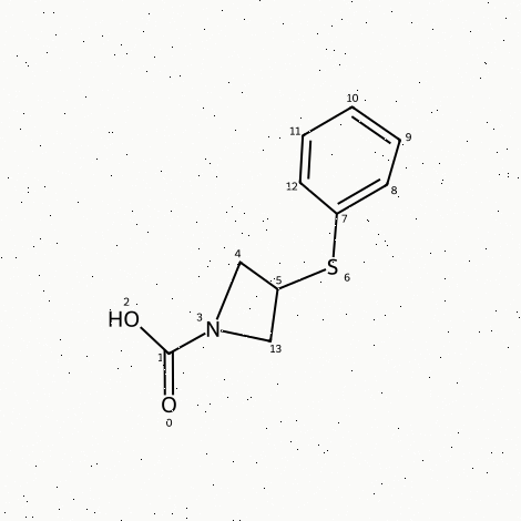 O=C(O)N1CC(Sc2ccccc2)C1